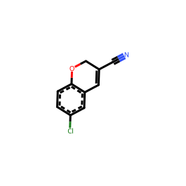 N#CC1=Cc2cc(Cl)ccc2OC1